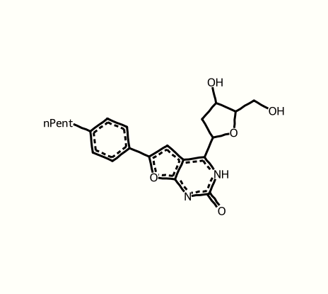 CCCCCc1ccc(-c2cc3c(C4CC(O)C(CO)O4)[nH]c(=O)nc3o2)cc1